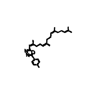 CC(C)=CCCC(C)=CCCC(C)=CCCC(C)=Cc1nnc(-c2ccc(C)cc2)o1